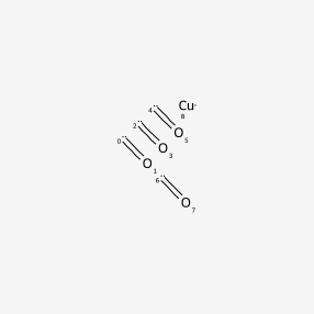 [C]=O.[C]=O.[C]=O.[C]=O.[Cu]